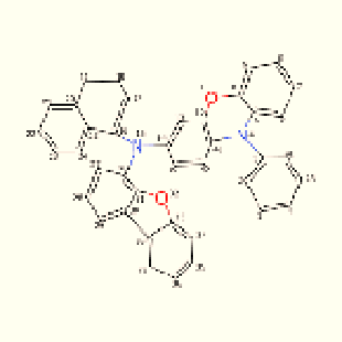 c1ccc(N2c3ccccc3Oc3cc(N(c4cccc5ccccc45)c4cccc5c4oc4ccccc45)ccc32)cc1